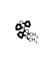 CCN(CC)c1ccccc1C(=O)N1c2ccccc2Oc2ccccc21